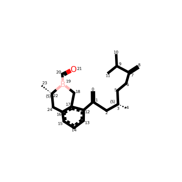 C=C(C[C@@H](C)CCC(=C)C(C)C)c1cccc2c1CB(C=O)[C@@H](C)C2